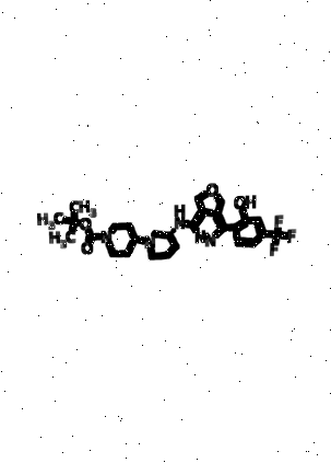 CC(C)(C)OC(=O)N1CCC(N2CCC[C@@H](Nc3nnc(-c4ccc(C(F)(F)F)cc4O)c4c3COC4)C2)CC1